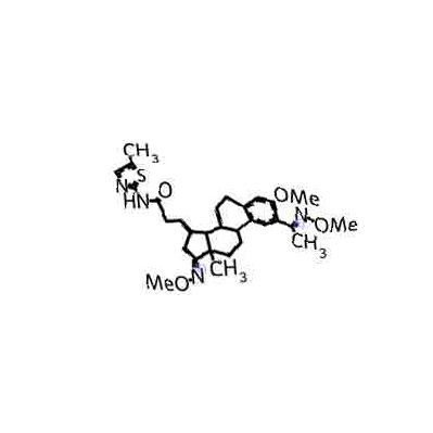 CO/N=C(\C)c1cc2c(cc1OC)CCC1C2CCC2(C)/C(=N/OC)CC(CCC(=O)Nc3ncc(C)s3)C12